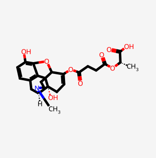 C[C@H](OC(=O)CCC(=O)OC1=CC[C@@]2(O)[C@H]3Cc4ccc(O)c5c4C2(CCN3C)C1O5)C(=O)O